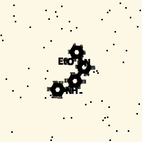 CCOc1ccccc1-c1cc(-c2ccc(Nc3ccccc3)cc2)ccn1